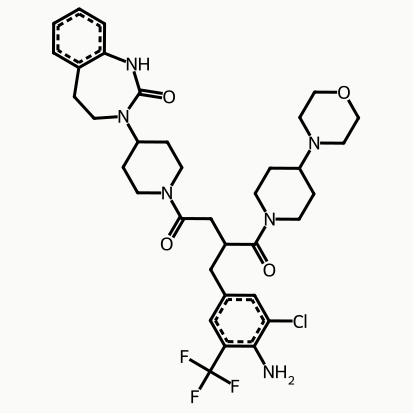 Nc1c(Cl)cc(CC(CC(=O)N2CCC(N3CCc4ccccc4NC3=O)CC2)C(=O)N2CCC(N3CCOCC3)CC2)cc1C(F)(F)F